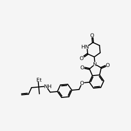 C=CCC(C)(CC)NCc1ccc(COc2cccc3c2C(=O)N(C2CCC(=O)NC2=O)C3=O)cc1